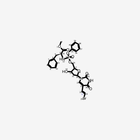 COC(=O)[C@H](Cc1ccccc1)NP(=O)(OCC1OC(n2cc(/C=C/Br)c(=O)[nH]c2=O)CC1O)Oc1ccccc1